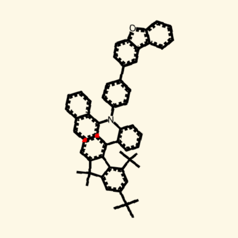 CC(C)(C)c1cc(C(C)(C)C)c2c(c1)C(C)(C)c1cccc(-c3ccccc3N(c3ccc(-c4ccc5oc6ccccc6c5c4)cc3)c3cccc4ccccc34)c1-2